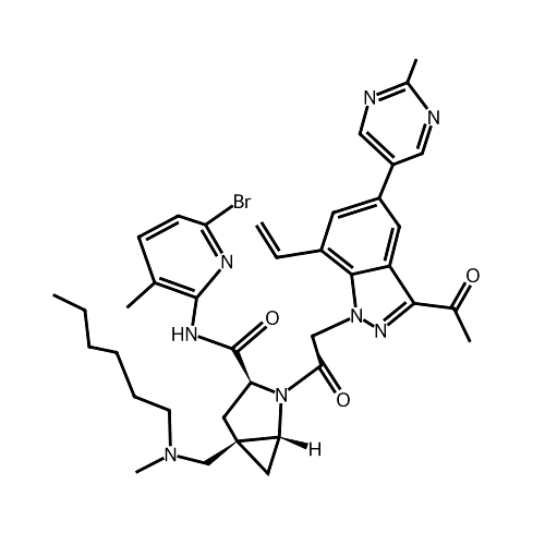 C=Cc1cc(-c2cnc(C)nc2)cc2c(C(C)=O)nn(CC(=O)N3[C@H](C(=O)Nc4nc(Br)ccc4C)C[C@@]4(CN(C)CCCCCC)C[C@@H]34)c12